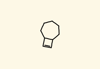 C1=CC2CCCCCC12